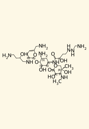 CN[C@@H]1[C@@H](O)[C@@H](O[C@H]2[C@H](NC(=O)[C@@H](O)CCNNCN)C[C@H](N)C(O[C@H]3OC(CN)=CC[C@H]3NCC(O)CCN)[C@@H]2O)OC[C@]1(C)O